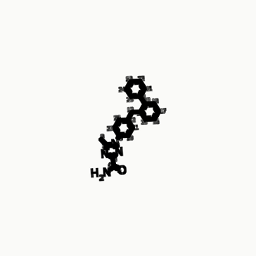 Cc1nc(C(N)=O)nn1-c1ccc(Cc2ccccc2-c2ccccc2)cc1